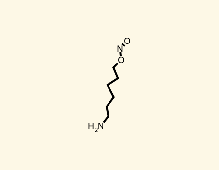 NCCCCCCON=O